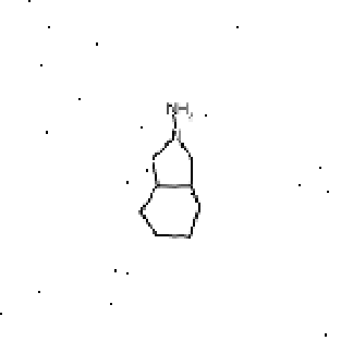 NN1CC2CCCCC2C1